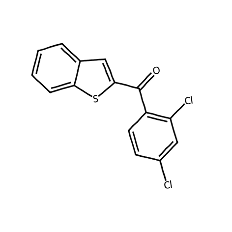 O=C(c1cc2ccccc2s1)c1ccc(Cl)cc1Cl